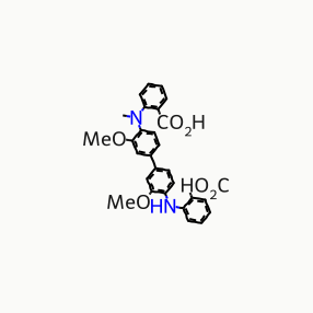 COc1cc(-c2ccc(N(C)c3ccccc3C(=O)O)c(OC)c2)ccc1Nc1ccccc1C(=O)O